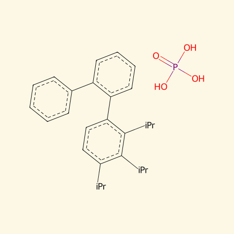 CC(C)c1ccc(-c2ccccc2-c2ccccc2)c(C(C)C)c1C(C)C.O=P(O)(O)O